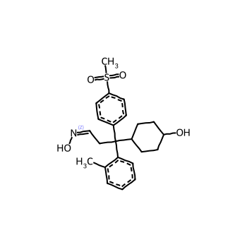 Cc1ccccc1C(C/C=N\O)(c1ccc(S(C)(=O)=O)cc1)C1CCC(O)CC1